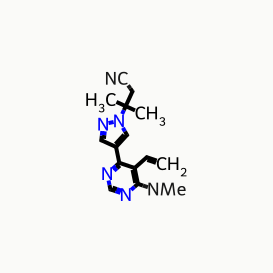 C=Cc1c(NC)ncnc1-c1cnn(C(C)(C)CC#N)c1